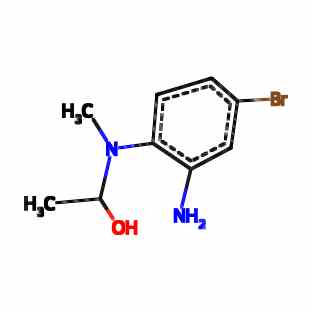 CC(O)N(C)c1ccc(Br)cc1N